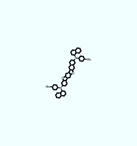 CC(C)(C)c1ccc(N(c2ccc3cc4c(cc3c2)oc2cc3c(cc24)oc2cc(N(c4ccc(C(C)(C)C)cc4)c4cccc5ccccc45)ccc23)c2cccc3ccccc23)cc1